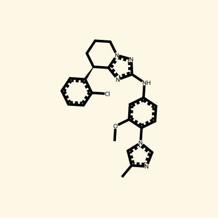 COc1cc(Nc2nc3n(n2)CCC[C@@H]3c2ccccc2Cl)ccc1-n1cnc(C)c1